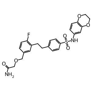 NC(=O)COCc1ccc(F)c(CCc2ccc(S(=O)(=O)Nc3ccc4c(c3)OCCO4)cc2)c1